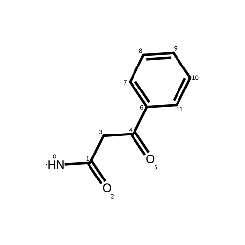 [NH]C(=O)CC(=O)c1ccccc1